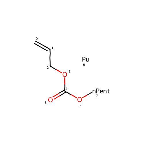 C=CCOC(=O)OCCCCC.[Pu]